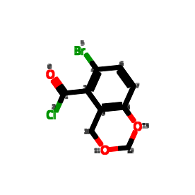 O=C(Cl)c1c(Br)ccc2c1COCO2